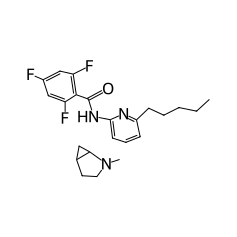 CCCCCc1cccc(NC(=O)c2c(F)cc(F)cc2F)n1.CN1CCC2CC21